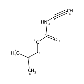 C#CNC(=O)OCC(C)C